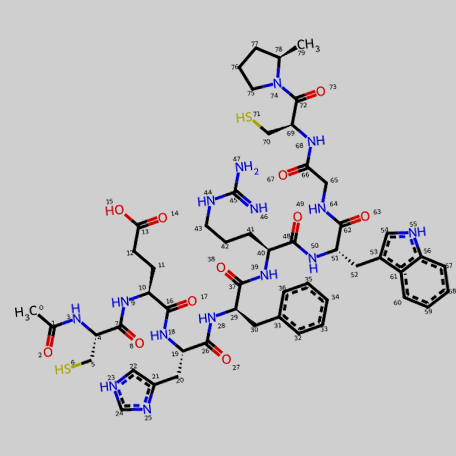 CC(=O)N[C@@H](CS)C(=O)N[C@@H](CCC(=O)O)C(=O)N[C@@H](Cc1c[nH]cn1)C(=O)N[C@H](Cc1ccccc1)C(=O)N[C@@H](CCCNC(=N)N)C(=O)N[C@@H](Cc1c[nH]c2ccccc12)C(=O)NCC(=O)N[C@@H](CS)C(=O)N1CCC[C@H]1C